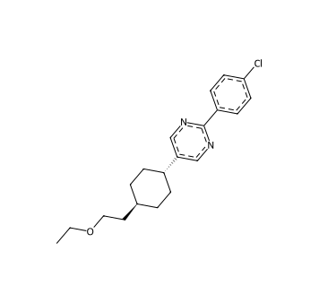 CCOCC[C@H]1CC[C@H](c2cnc(-c3ccc(Cl)cc3)nc2)CC1